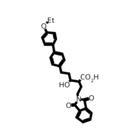 CCOc1ccc(-c2ccc(CCC(O)C(CCN3C(=O)c4ccccc4C3=O)C(=O)O)cc2)cc1